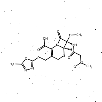 CO[C@@]1(NC(=O)C[S+](C)[O-])C(=O)N2C(C(=O)O)=C(CSc3nnc(C)o3)CS[C@H]21